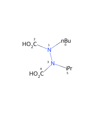 CCCCN(C(=O)O)N(C(=O)O)C(C)C